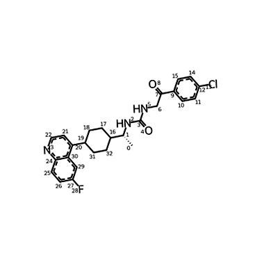 C[C@@H](NC(=O)NCC(=O)c1ccc(Cl)cc1)C1CCC(c2ccnc3ccc(F)cc23)CC1